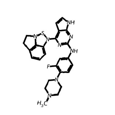 CN1CCN(c2ccc(Nc3nc(N4SN5CCc6cccc4c65)c4cc[nH]c4n3)cc2F)CC1